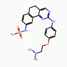 CN(C)CCOc1ccc(Nc2ncc3c(n2)-c2cc(NS(C)(=O)=O)ccc2CC3)cc1